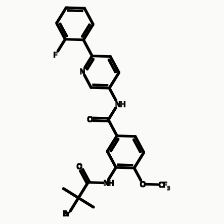 CC(C)(Br)C(=O)Nc1cc(C(=O)Nc2ccc(-c3ccccc3F)nc2)ccc1OC(F)(F)F